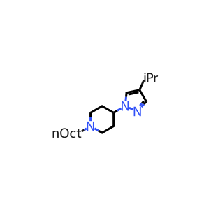 CCCCCCCCN1CCC(n2cc(C(C)C)cn2)CC1